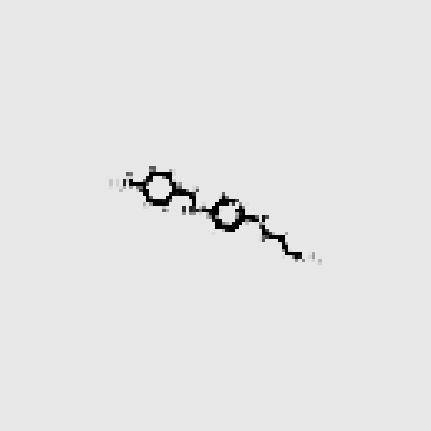 CCCCOc1ccc(NCC2CCC(N)CC2)cn1